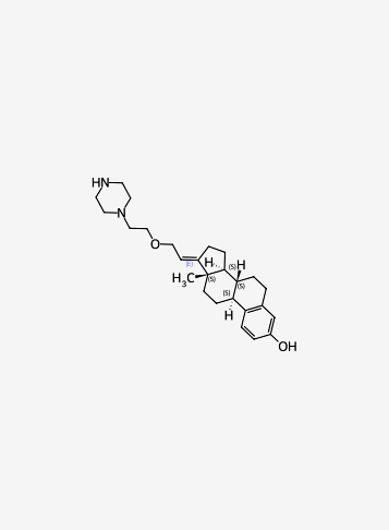 C[C@]12CC[C@@H]3c4ccc(O)cc4CC[C@H]3[C@@H]1CC/C2=C\COCCN1CCNCC1